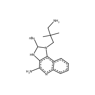 CCCCC1Nc2c(N)nc3ccccc3c2N1CC(C)(C)CN